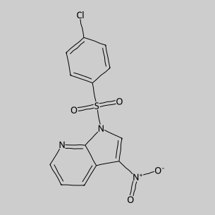 O=[N+]([O-])c1cn(S(=O)(=O)c2ccc(Cl)cc2)c2ncccc12